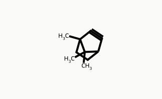 CC12C#CC(CC1)C2(C)C